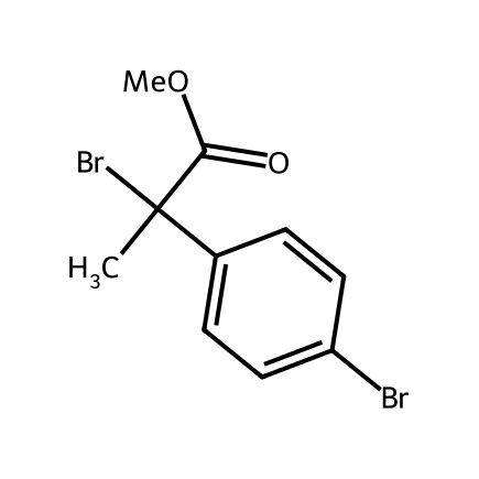 COC(=O)C(C)(Br)c1ccc(Br)cc1